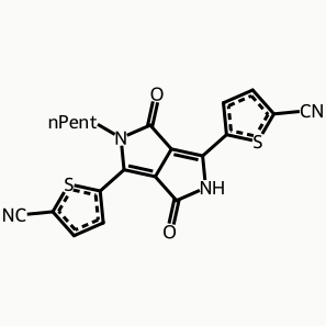 CCCCCN1C(=O)C2=C(c3ccc(C#N)s3)NC(=O)C2=C1c1ccc(C#N)s1